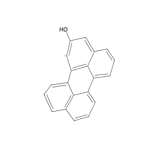 Oc1[c]c2c3cccc4cccc(c5cccc(c1)c25)c43